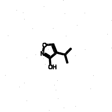 CC(C)c1conc1O